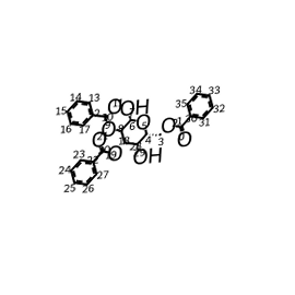 O=C(OC[C@H]1O[C@H](O)[C@H](OC(=O)c2ccccc2)[C@@H](OC(=O)c2ccccc2)[C@H]1O)c1ccccc1